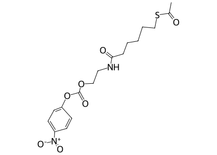 CC(=O)SCCCCCC(=O)NCCOC(=O)Oc1ccc([N+](=O)[O-])cc1